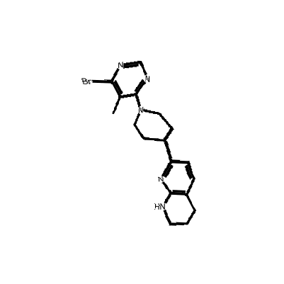 Cc1c(Br)ncnc1N1CCC(c2ccc3c(n2)NCCC3)CC1